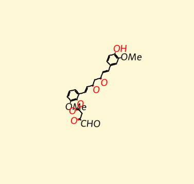 COc1cc(C=CC(=O)CC(=O)C=Cc2cccc(OC)c2OC(=O)CC(=O)C=O)ccc1O